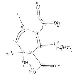 Cl.Cl.NC1(I)C=C(I)C(C(=O)O)=C(I)C1C(=O)O